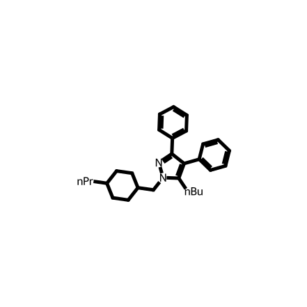 CCCCc1c(-c2ccccc2)c(-c2ccccc2)nn1CC1CCC(CCC)CC1